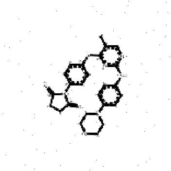 Cc1cnc(Nc2ccc(N3CCOCC3)cc2)nc1Sc1ccc(N2C(=O)CCC2=O)cc1